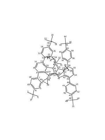 CC(C)(C)c1ccc(-c2ccc(-c3ccc(C(C)(C)C)cc3)c3c2C=C(CC2CC2)[CH]3[Zr]([CH3])([CH3])(=[SiH2])[CH]2C(CC3CC3)=Cc3c(-c4ccc(C(C)(C)C)cc4)ccc(-c4ccc(C(C)(C)C)cc4)c32)cc1